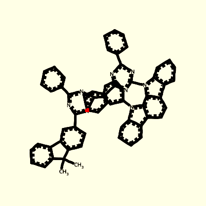 CC1(C)c2ccccc2-c2cc(-c3nc(-c4ccccc4)nc(-c4cccc(-n5c6ccccc6c6ccc7c8ccccc8n(-c8nc(-c9ccccc9)nc(-c9ccccc9)n8)c7c65)c4)n3)ccc21